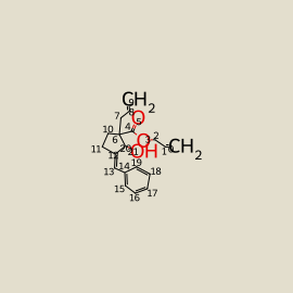 C=CCOC(=O)C1(CC=C)CCC(=Cc2ccccc2)C1O